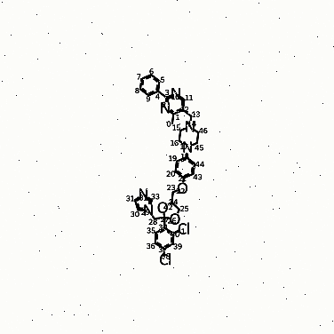 Cc1nc(-c2ccccc2)ncc1CN1CCN(c2ccc(OCC3COC(Cn4ccnc4)(c4ccc(Cl)cc4Cl)O3)cc2)CC1